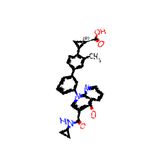 Cc1cc(-c2cccc(-n3cc(C(=O)NC4CC4)c(=O)c4cccnc43)c2)ccc1C1C[C@H]1C(=O)O